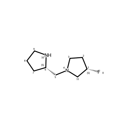 F[C@H]1CCN(C[C@@H]2CCCN2)C1